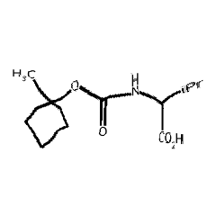 CC(C)C(NC(=O)OC1(C)CCC1)C(=O)O